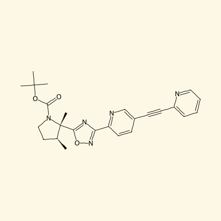 C[C@H]1CCN(C(=O)OC(C)(C)C)[C@]1(C)c1nc(-c2ccc(C#Cc3ccccn3)cn2)no1